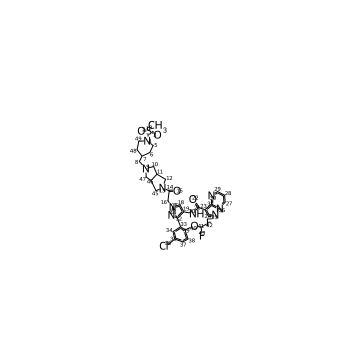 CS(=O)(=O)N1CCC(CN2CC3CN(C(=O)Cn4cc(NC(=O)c5cnn6cccnc56)c(-c5cc(Cl)ccc5OC(F)F)n4)CC3C2)CC1